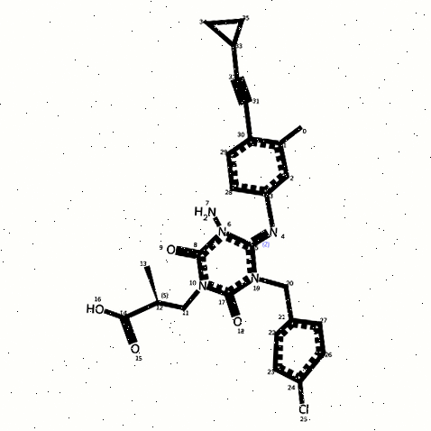 Cc1cc(/N=c2\n(N)c(=O)n(C[C@H](C)C(=O)O)c(=O)n2Cc2ccc(Cl)cc2)ccc1C#CC1CC1